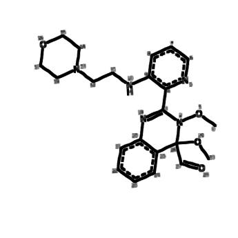 CON1C(c2ncccc2NCCN2CCOCC2)=Nc2ccccc2C1(C=O)OC